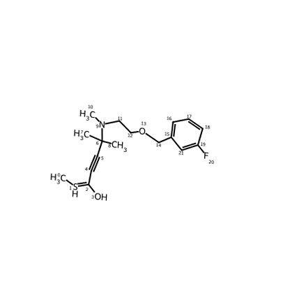 C[SH]=C(O)C#CC(C)(C)N(C)CCOCc1cccc(F)c1